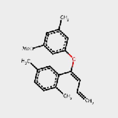 C=C/C=C(/Oc1cc(C)cc(OC)c1)c1cc(C)ccc1C